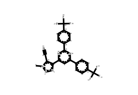 Cn1nnc(-c2cc(-c3ccc(C(F)(F)F)cc3)nc(-c3ccc(C(F)(F)F)cc3)n2)c1C#N